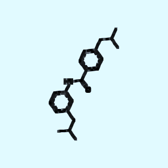 CC(C)Cc1ccc(C(=O)Nc2cccc(CC(C)C)c2)cc1